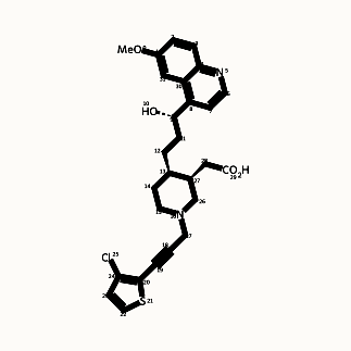 COc1ccc2nccc([C@@H](O)CC[C@@H]3CCN(CC#Cc4sccc4Cl)C[C@@H]3CC(=O)O)c2c1